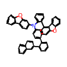 c1ccc(-c2ccc3ccccc3c2)c(-c2ccc(N(c3ccc4c(c3)oc3ccccc34)c3ccccc3-c3cccc4oc5ccccc5c34)cc2)c1